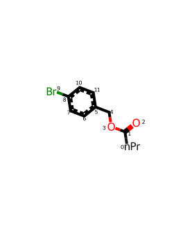 CCCC(=O)OCc1ccc(Br)cc1